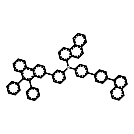 c1ccc(-c2c(-c3ccccc3)c3cc(-c4cccc(N(c5ccc(-c6ccc(-c7cccc8ccccc78)cc6)cc5)c5cccc6c5ccc5ccccc56)c4)ccc3c3ccccc23)cc1